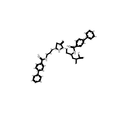 C=C(I)C(C)CC(CC[C@@H]1O[C@@H](CCCOC(=O)c2ccc(-c3ccccc3)cc2)CC1=C)OC(=O)c1ccc(-c2ccccc2)cc1